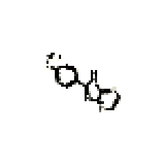 CCCCSc1ccc(-c2nc3nccnc3[nH]2)cc1